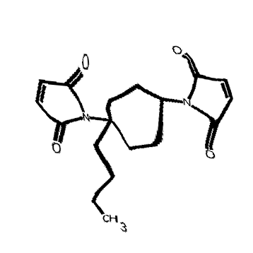 CCCCC1(N2C(=O)C=CC2=O)CCC(N2C(=O)C=CC2=O)CC1